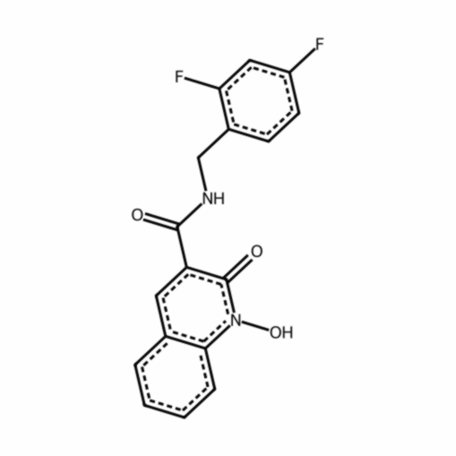 O=C(NCc1ccc(F)cc1F)c1cc2ccccc2n(O)c1=O